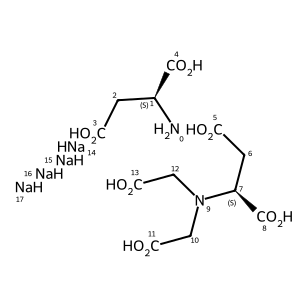 N[C@@H](CC(=O)O)C(=O)O.O=C(O)C[C@@H](C(=O)O)N(CC(=O)O)CC(=O)O.[NaH].[NaH].[NaH].[NaH]